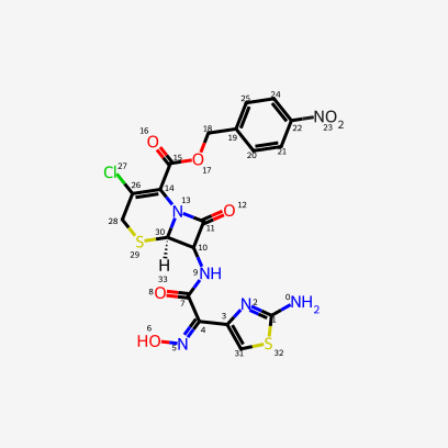 Nc1nc(/C(=N/O)C(=O)NC2C(=O)N3C(C(=O)OCc4ccc([N+](=O)[O-])cc4)=C(Cl)CS[C@H]23)cs1